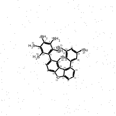 Bc1c(B)c(B)c(-c2ccc3oc4cccc(-c5cc(C(C)(C)C)cc(C(C)(C)C)c5)c4c3c2C(C)(C)C)c(B)c1B